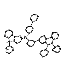 CC1(c2ccccc2)c2ccccc2-c2cc(N(c3ccc(-c4ccccc4)cc3)c3cccc(-c4ccc5c(c4)c(-c4ccccc4)c(-c4ccccc4)c4ccccc45)c3)ccc21